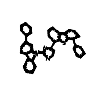 c1ccc(-c2ccc3c4ccccc4n(-c4nccc(-c5cccc6c5sc5c(-c7ccccc7)cccc56)n4)c3c2)cc1